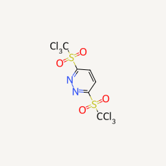 O=S(=O)(c1ccc(S(=O)(=O)C(Cl)(Cl)Cl)nn1)C(Cl)(Cl)Cl